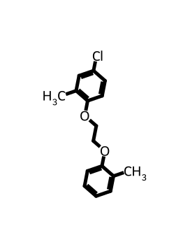 Cc1ccccc1OCCOc1ccc(Cl)cc1C